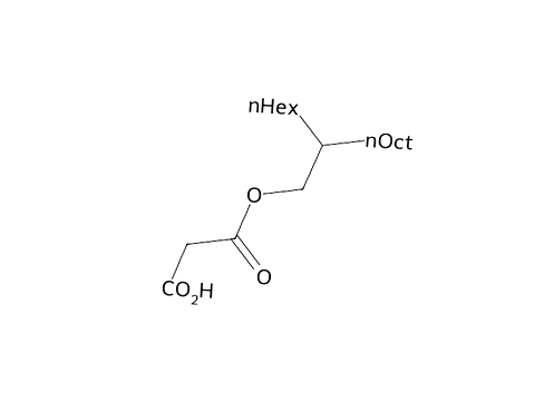 CCCCCCCCC(CCCCCC)COC(=O)CC(=O)O